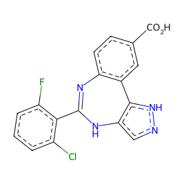 O=C(O)c1ccc2c(c1)-c1[nH]ncc1NC(c1c(F)cccc1Cl)=N2